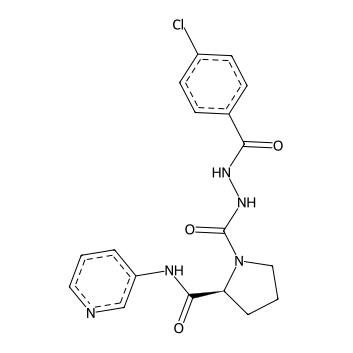 O=C(NNC(=O)N1CCC[C@H]1C(=O)Nc1cccnc1)c1ccc(Cl)cc1